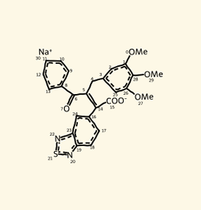 COc1cc(CC(C(=O)c2ccccc2)=C(C(=O)[O-])c2ccc3nsnc3c2)cc(OC)c1OC.[Na+]